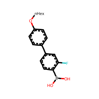 CCCCCCOc1ccc(-c2ccc(B(O)O)c(F)c2)cc1